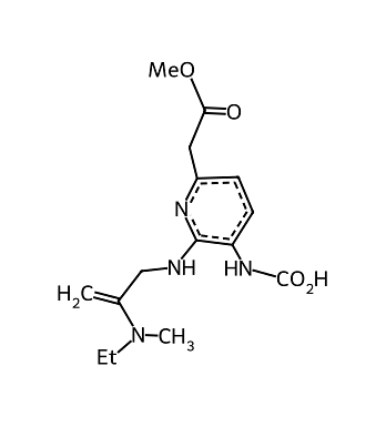 C=C(CNc1nc(CC(=O)OC)ccc1NC(=O)O)N(C)CC